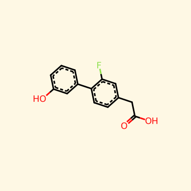 O=C(O)Cc1ccc(-c2cccc(O)c2)c(F)c1